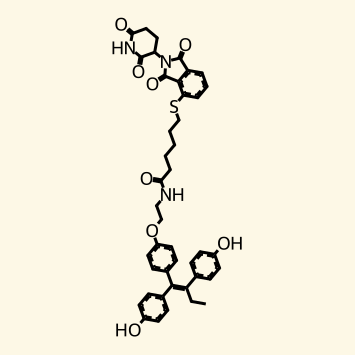 CCC(=C(c1ccc(O)cc1)c1ccc(OCCNC(=O)CCCCCSc2cccc3c2C(=O)N(C2CCC(=O)NC2=O)C3=O)cc1)c1ccc(O)cc1